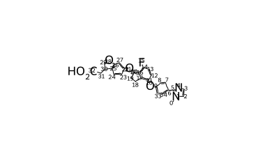 Cn1ccnc1-c1ccc(Oc2ccc(F)c3c2CC[C@H]3Oc2ccc3c(c2)OCC3CC(=O)O)cc1